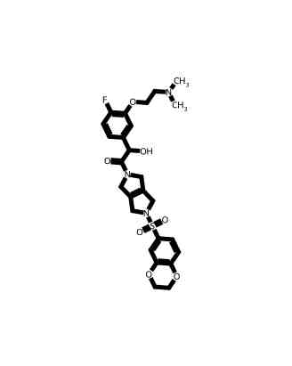 CN(C)CCOc1cc(C(O)C(=O)N2CC3=C(C2)CN(S(=O)(=O)c2ccc4c(c2)OCCO4)C3)ccc1F